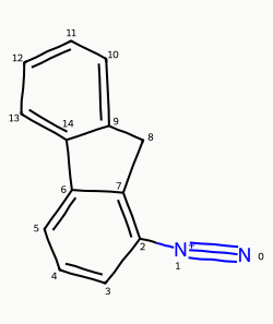 N#[N+]c1cccc2c1Cc1ccccc1-2